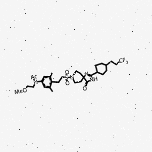 COCCN(C(C)=O)c1cc(C)c(CCS(=O)(=O)N2CCC3(CC2)N=C(C2CCC(CCC(F)(F)F)CC2)NC3=O)c(C)c1